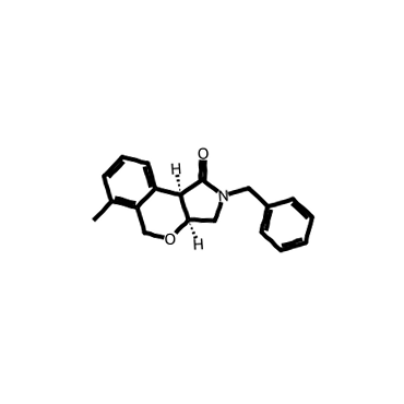 Cc1cccc2c1CO[C@@H]1CN(Cc3ccccc3)C(=O)[C@H]21